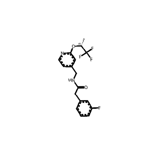 C[C@@H](Oc1cc(CNC(=O)Cc2cccc(F)c2)ccn1)C(F)(F)F